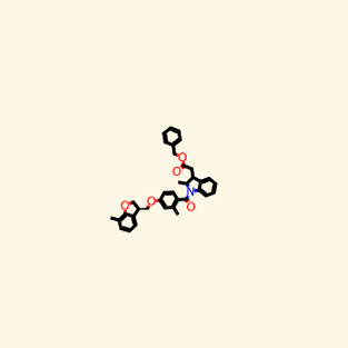 Cc1cc(OC[C@@H]2COc3c(C)cccc32)ccc1C(=O)N1c2ccccc2C(CC(=O)OCc2ccccc2)C1C